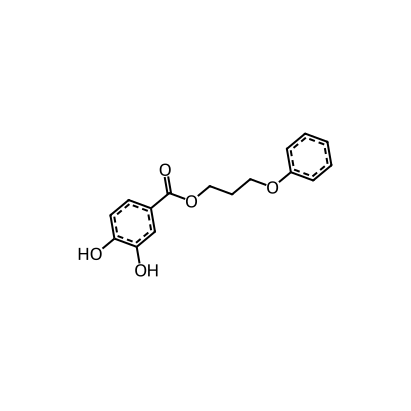 O=C(OCCCOc1ccccc1)c1ccc(O)c(O)c1